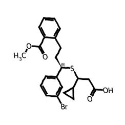 COC(=O)c1ccccc1CC[C@@H](SC(CC(=O)O)C1CC1)c1cccc(Br)c1